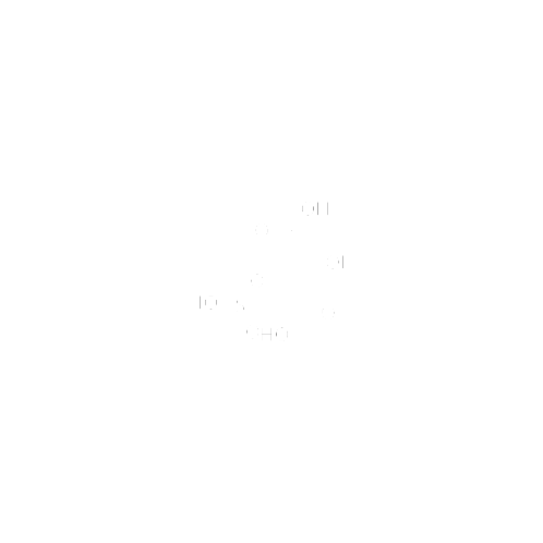 O=C(O)C(O)C(OS(=O)O)C(=O)O